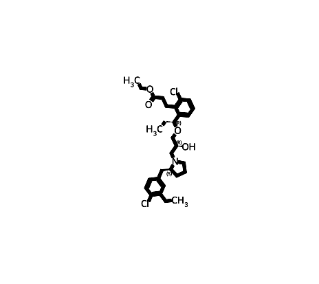 CCOC(=O)CCc1c(Cl)cccc1[C@@H](CC)OC[C@H](O)CN1CCC[C@H]1Cc1ccc(Cl)c(CC)c1